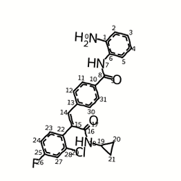 Nc1ccccc1NC(=O)c1ccc(/C=C(\C(=O)NC2CC2)c2ccc(F)cc2Cl)cc1